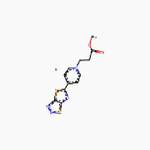 CC(C)(C)OC(=O)CC[n+]1ccc(-c2nc3snnc3s2)cc1.[Br-]